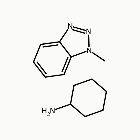 Cn1nnc2ccccc21.NC1CCCCC1